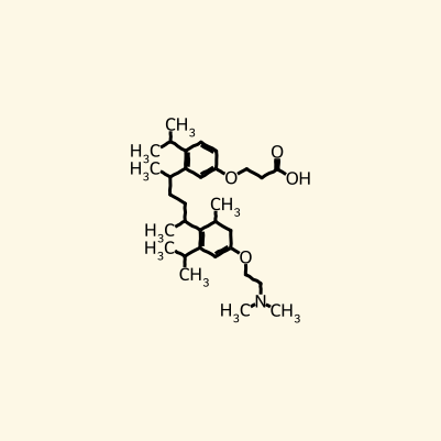 CC(C)C1=C(C(C)CCC(C)c2cc(OCCC(=O)O)ccc2C(C)C)C(C)CC(OCCN(C)C)=C1